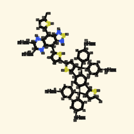 CCCCCCc1ccc(C2(c3ccc(CCCCCC)cc3)c3cc4c(cc3-c3sc(C)cc32)C(c2ccc(CCCCCC)cc2)(c2ccc(CCCCCC)cc2)c2cc(-c3ccc(-c5c6nsnc6c(-c6ccc(C)s6)c6nc(CCCCCC)c(CCCCCC)nc56)s3)sc2-4)cc1